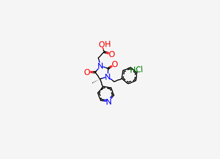 C[C@]1(c2ccncc2)C(=O)N(CC(=O)O)C(=O)N1Cc1ccccc1.Cl